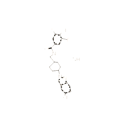 N.O=C(NCC1CCC(n2cc3cc(Cl)ccc3n2)CC1)c1cc(F)c(O)c(F)c1